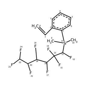 C=Cc1ccccc1[Si](C)(C)C(F)C(F)(F)C(F)C(F)C(F)C(F)F